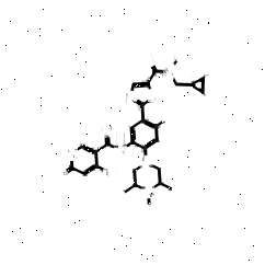 CC1CN(c2cc(F)c(-c3ncc(C(=O)N(C)CC4CC4)s3)cc2NC(=O)c2c[nH]c(=O)cc2C(F)(F)F)CC(C)N1C